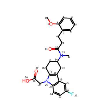 COc1ccccc1CCC(=O)N(C)C1CCc2c(c3cc(F)ccc3n2CC(=O)O)C1